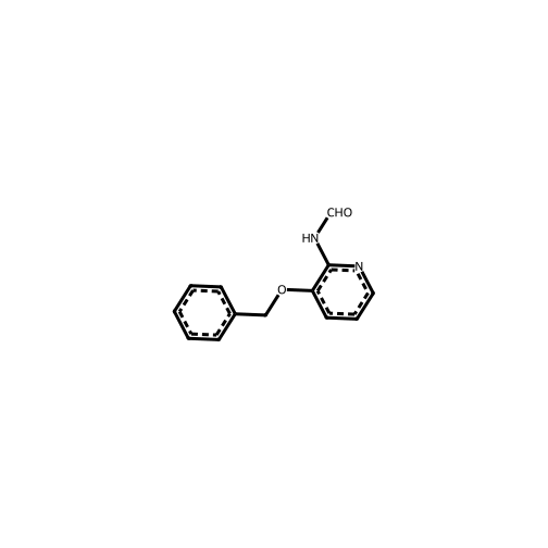 O=CNc1ncccc1OCc1ccccc1